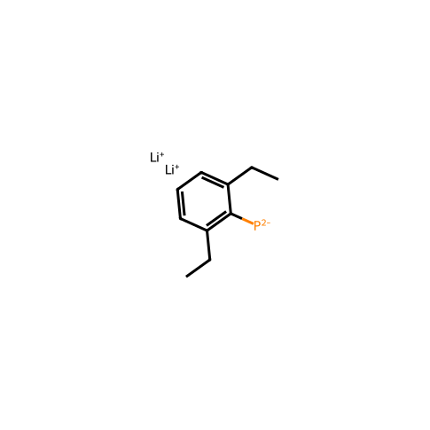 CCc1cccc(CC)c1[P-2].[Li+].[Li+]